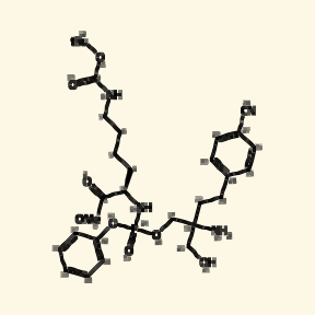 COC(=O)[C@@H](CCCCNC(=O)OC(C)(C)C)NP(=O)(OCC(N)(CO)CCc1ccc(C#N)cc1)Oc1ccccc1